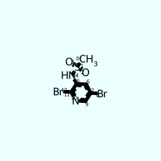 CS(=O)(=O)Nc1cc(Br)cnc1Br